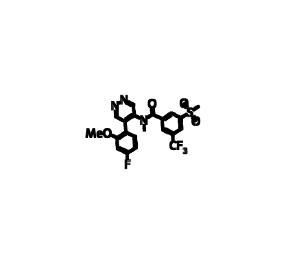 COc1cc(F)ccc1-c1cnncc1N(C)C(=O)c1cc(C(F)(F)F)cc(S(C)(=O)=O)c1